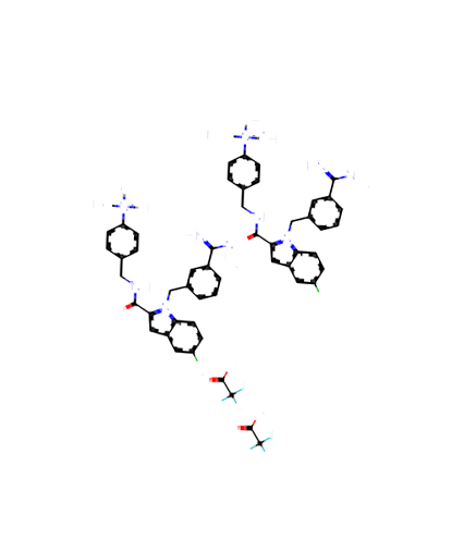 C[N+](C)(C)c1ccc(CNC(=O)c2cc3cc(Cl)ccc3n2Cc2cccc(C(=N)N)c2)cc1.C[N+](C)(C)c1ccc(CNC(=O)c2cc3cc(Cl)ccc3n2Cc2cccc(C(=N)N)c2)cc1.O=C([O-])C(F)(F)F.O=C([O-])C(F)(F)F